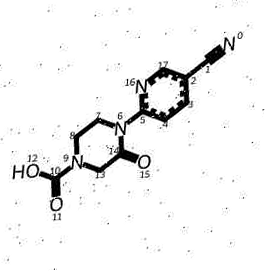 N#Cc1ccc(N2CCN(C(=O)O)CC2=O)nc1